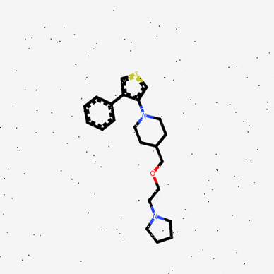 c1ccc(-c2cscc2N2CCC(COCCN3CCCC3)CC2)cc1